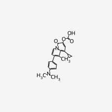 Cc1c(-c2ccc(N(C)C)cc2)ccn2c(=O)c(OC(=O)O)cc(C3CC3)c12